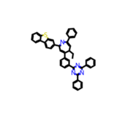 CCC1C=C(c2ccccc2)N=C(c2ccc3c(c2)sc2ccccc23)C=C1c1cccc(-c2nc(-c3ccccc3)nc(-c3ccccc3)n2)c1